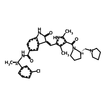 Cc1[nH]c(C=C2C(=O)Nc3ccc(C(=O)N[C@H](C)c4cccc(Cl)c4)cc32)c(C)c1C(=O)N1CCC[C@H]1CN1CCCC1